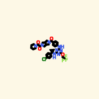 O=C(C(=O)N1CC2CN(C(=O)c3ccc(Nc4nc(NC5(c6ccc(Cl)cc6)CC5)nc(OCC(F)(F)F)n4)cc3)CC2C1)N1CCCCC1